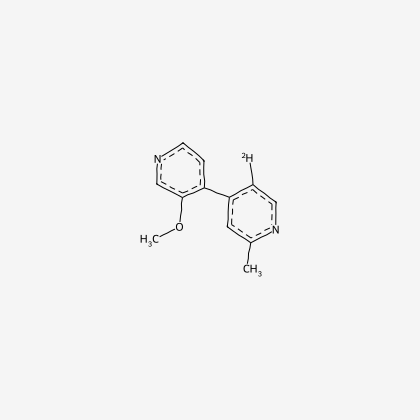 [2H]c1cnc(C)cc1-c1ccncc1OC